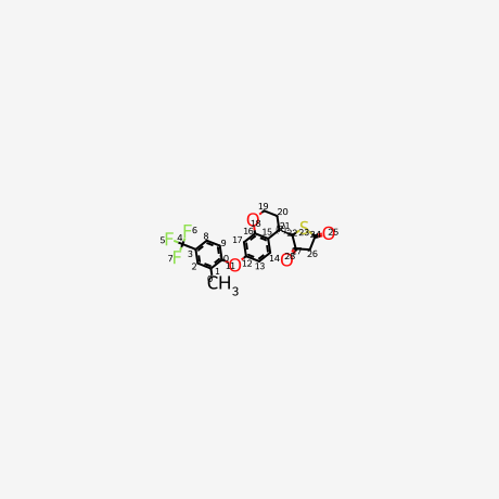 Cc1cc(C(F)(F)F)ccc1Oc1ccc2c(c1)OCC[C@H]2C1SC(=O)CC1=O